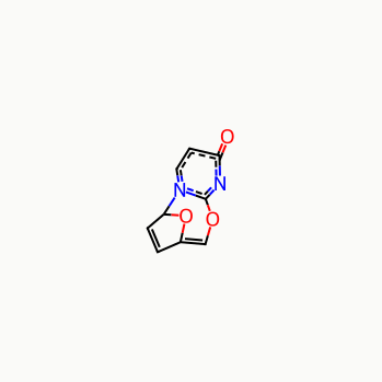 O=c1ccn2c(n1)OC=C1C=CC2O1